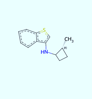 C[C@@H]1CCC1Nc1csc2ccccc12